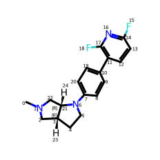 CN1C[C@H]2CCN(c3ccc(-c4ccc(F)nc4F)cc3)[C@H]2C1